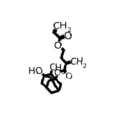 C=CC(=O)OCCC(=C)C(=O)OC12CC3CC(CC(O)(C3)C1C)C2